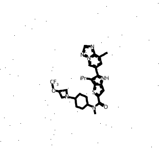 Cc1cc(-c2[nH]c3cc(C(=O)N(C)C4CCC(N5CC(OC(F)(F)F)C5)CC4)sc3c2C(C)C)cn2ncnc12